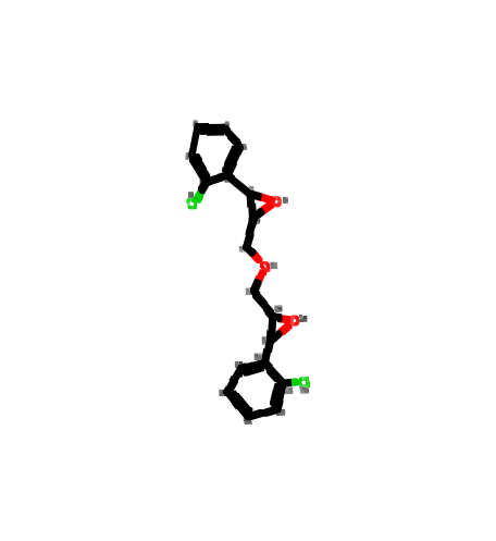 Clc1ccccc1C1OC1COCC1OC1c1ccccc1Cl